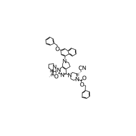 C[C@@H](Oc1nc2c(c(N3CCN(C(=O)OCc4ccccc4)[C@@H](CC#N)C3)n1)CCN(c1cc(OCc3ccccc3)cc3ccccc13)C2)[C@H]1CCCN1